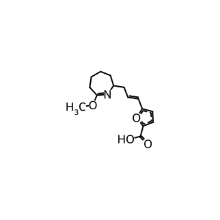 COC1=NC(CC=Cc2ccc(C(=O)O)o2)CCCC1